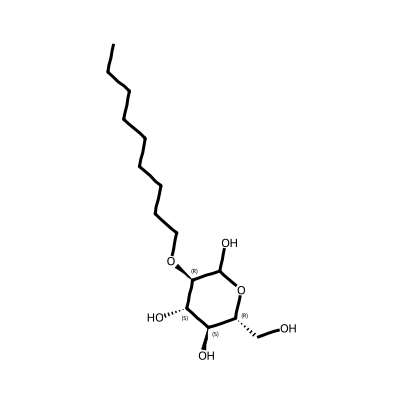 CCCCCCCCCO[C@H]1C(O)O[C@H](CO)[C@@H](O)[C@@H]1O